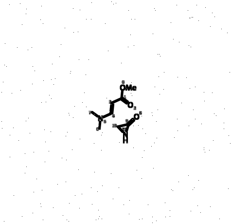 COC(=O)C=CN(C)C.O=C1CN1